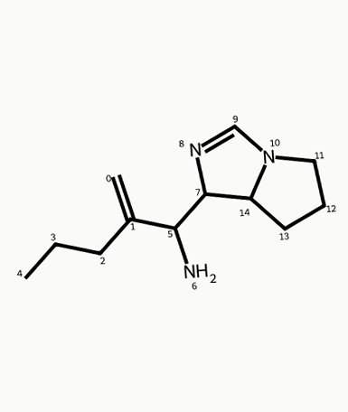 C=C(CCC)C(N)C1N=CN2CCCC12